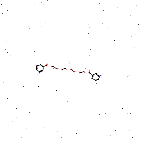 Cl.Cl.Nc1cccc(C(=O)OCCOCCOCCOCCOC(=O)c2cccc(N)c2)c1